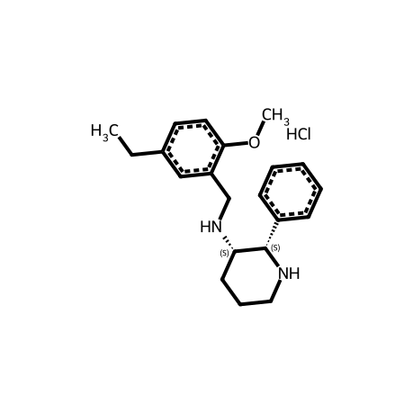 CCc1ccc(OC)c(CN[C@H]2CCCN[C@H]2c2ccccc2)c1.Cl